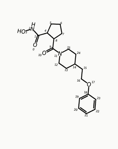 O=C(NO)C1CCCC1C(=O)N1CCC(CCOc2ccccc2)CC1